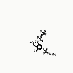 COCc1c(Cl)cccc1Cl.F[B-](F)(F)F.F[B-](F)(F)F.F[B-](F)(F)F.[NaH]